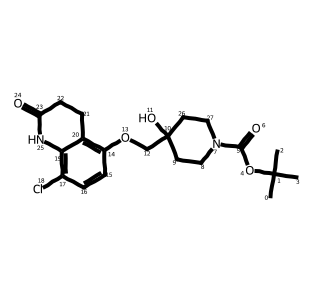 CC(C)(C)OC(=O)N1CCC(O)(COc2ccc(Cl)c3c2CCC(=O)N3)CC1